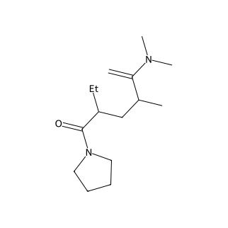 C=C(C(C)CC(CC)C(=O)N1CCCC1)N(C)C